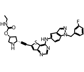 CCNC(=O)O[C@@H]1CN[C@@H](C#Cc2cc3ncnc(Nc4ccc5c(cnn5Cc5cccc(F)c5)c4)c3s2)C1